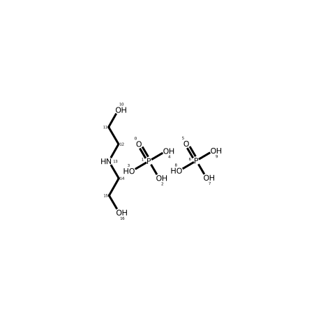 O=P(O)(O)O.O=P(O)(O)O.OCCNCCO